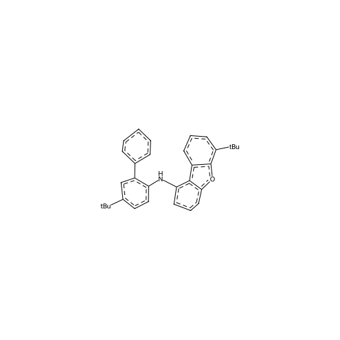 CC(C)(C)c1ccc(Nc2cccc3oc4c(C(C)(C)C)cccc4c23)c(-c2ccccc2)c1